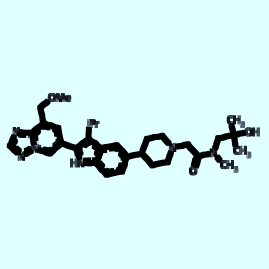 COCc1cc(-c2[nH]c3ccc(C4CCN(CC(=O)N(C)CC(C)(C)O)CC4)cc3c2C(C)C)cn2ncnc12